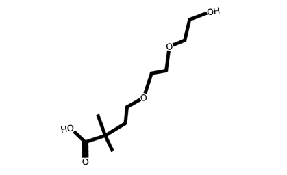 CC(C)(CCOCCOCCO)C(=O)O